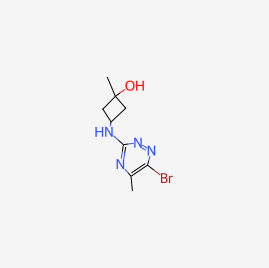 Cc1nc(NC2CC(C)(O)C2)nnc1Br